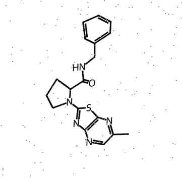 Cc1cnc2nc(N3CCCC3C(=O)NCc3ccccc3)sc2n1